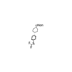 CCCCCCCCC[C@H]1CC[C@H](c2ccc(SC(F)F)cc2)CC1